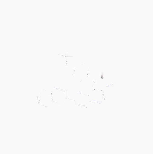 Cn1c(=O)n(C2CCN(CC(F)(F)F)CC2)c2c3nc(-c4cnc5ccccc5c4)ccc3ncc21